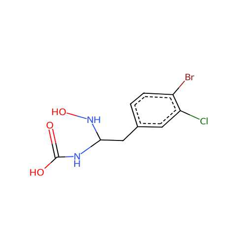 O=C(O)NC(Cc1ccc(Br)c(Cl)c1)NO